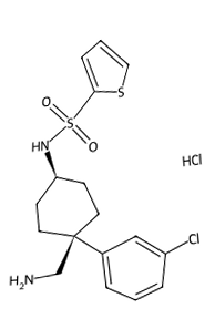 Cl.NC[C@]1(c2cccc(Cl)c2)CC[C@H](NS(=O)(=O)c2cccs2)CC1